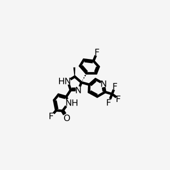 C[C@@H]1NC(c2ccc(F)c(=O)[nH]2)=N[C@]1(c1ccc(F)cc1)c1ccc(C(F)(F)F)nc1